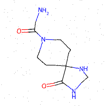 NC(=O)N1CCC2(CC1)NCNC2=O